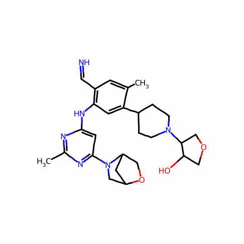 Cc1nc(Nc2cc(C3CCN(C4COCC4O)CC3)c(C)cc2C=N)cc(N2CC3CC2CO3)n1